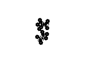 c1ccc(-c2nc(N3c4ccccc4-c4ccccc4-n4c3cc3cc(-c5cccc6c7c(ccc56)N(c5nc(-c6ccccc6)c6oc8ccccc8c6n5)c5cc6ccccc6n5-c5ccccc5-7)ccc34)nc3c2oc2ccccc23)cc1